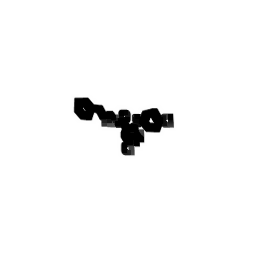 O=C(NCCCc1ccccc1)c1cc(Cl)nnc1Sc1ccc(Cl)cc1